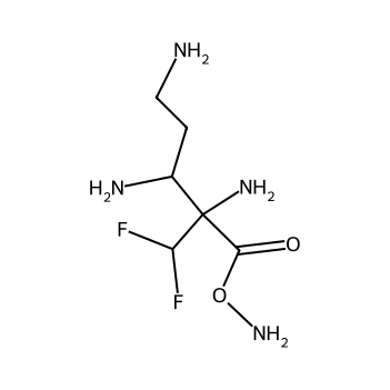 NCCC(N)C(N)(C(=O)ON)C(F)F